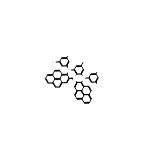 Cc1cc2c3c(c1)N(c1cc(C(C)(C)C)cc(C(C)(C)C)c1)c1c(cc4ccc5cccc6ccc1c4c56)P3(=O)c1cc3ccc4cccc5ccc(c1N2c1cc(C(C)(C)C)cc(C(C)(C)C)c1)c3c45